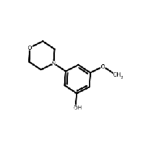 COc1cc(O)cc(N2CCOCC2)c1